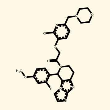 COc1ccc(C2c3c(nc4sccn34)CCN2C(=O)COc2ccc(CN3CCOCC3)nc2Cl)c(F)c1